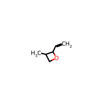 C=C[C]1OCC1C